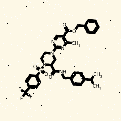 Cc1nc(N2CCN(S(=O)(=O)c3ccc(C(F)(F)F)cc3)C(C(=O)NCc3ccc(C(C)C)cc3)C2)ncc1C(=O)OCc1ccccc1